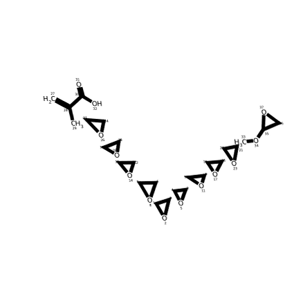 C1CO1.C1CO1.C1CO1.C1CO1.C1CO1.C1CO1.C1CO1.C1CO1.C1CO1.C=C(C)C(=O)O.COC1CO1